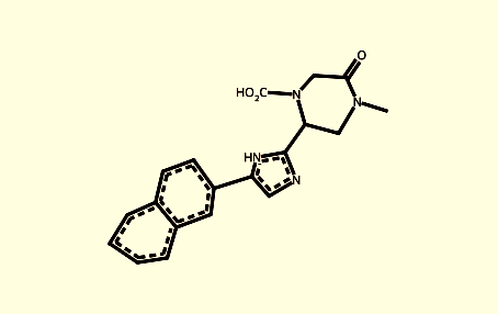 CN1CC(c2ncc(-c3ccc4ccccc4c3)[nH]2)N(C(=O)O)CC1=O